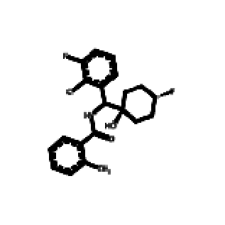 Cc1ccccc1C(=O)NC(c1cccc(F)c1Cl)[C@]1(O)CC[C@H](F)CC1